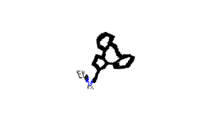 CCN(CC)Cc1ccc2c(c1)-c1ccccc1Cc1ccccc1-2